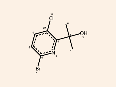 CC(C)(O)c1nc(Br)ccc1Cl